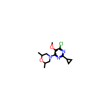 COc1c(Cl)nc(C2CC2)nc1N1CC(C)OC(C)C1